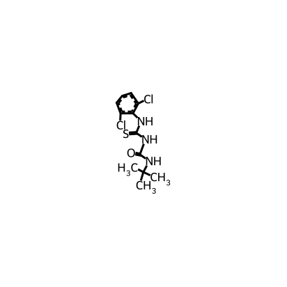 CC(C)(C)NC(=O)NC(=S)Nc1c(Cl)cccc1Cl